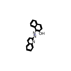 Oc1ccc2ccccc2c1/N=N/c1ccc2ccccc2n1